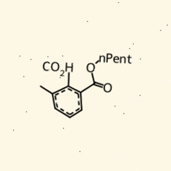 CCCCCOC(=O)c1cccc(C)c1C(=O)O